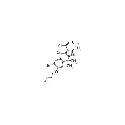 C/C=C(/Cl)c1c(C)[nH]c2c1C(=O)c1cc(Br)c(OCCCO)cc1C2(C)C